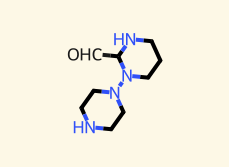 O=CC1NCCCN1N1CCNCC1